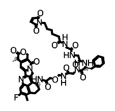 Cc1c(F)cc2nc3c(c4c2c1CC[C@@H]4NC(=O)COCNC(=O)CNC(=O)[C@H](Cc1ccccc1)NC(=O)CNC(=O)CNC(=O)CCCCCN1C(=O)C=CC1=O)Cn1c-3cc2c(c1=O)COC(=O)[C@H]2C